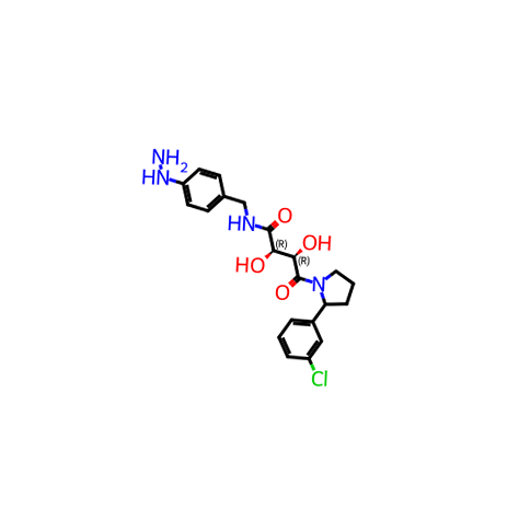 NNc1ccc(CNC(=O)[C@H](O)[C@@H](O)C(=O)N2CCCC2c2cccc(Cl)c2)cc1